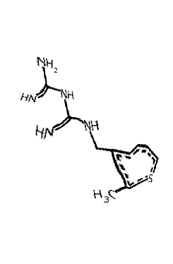 Cc1sccc1CNC(=N)NC(=N)N